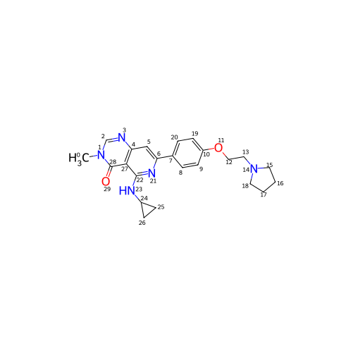 Cn1cnc2cc(-c3ccc(OCCN4CCCC4)cc3)nc(NC3CC3)c2c1=O